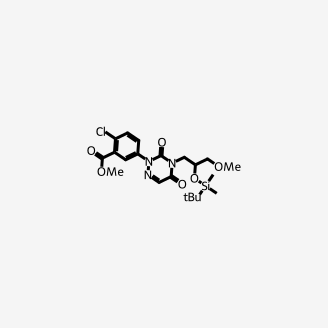 COCC(Cn1c(=O)cnn(-c2ccc(Cl)c(C(=O)OC)c2)c1=O)O[Si](C)(C)C(C)(C)C